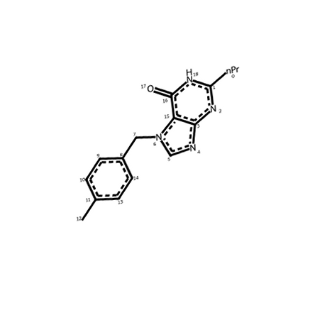 CCCc1nc2ncn(Cc3ccc(C)cc3)c2c(=O)[nH]1